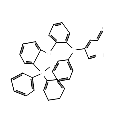 C=C/C=C(\C=C)P(c1ccccc1)c1ccccc1Oc1ccccc1[PH](C)(C1=CCCC=C1)c1ccccc1